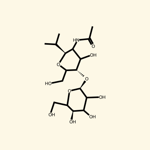 CC(=O)NC1C(O)[C@H](O[C@@H]2OC(CO)[C@H](O)C(O)C2O)C(CO)O[C@H]1C(C)C